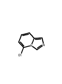 CCc1cccc2cncn12